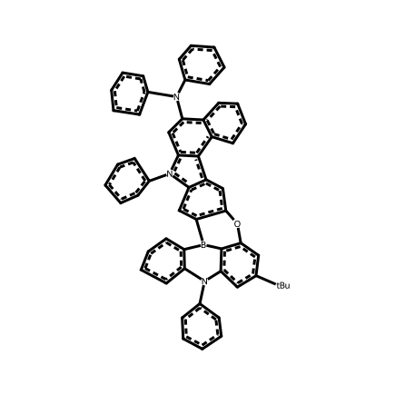 CC(C)(C)c1cc2c3c(c1)N(c1ccccc1)c1ccccc1B3c1cc3c(cc1O2)c1c2ccccc2c(N(c2ccccc2)c2ccccc2)cc1n3-c1ccccc1